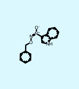 [O-]/[N+](=N/OCc1ccccc1)c1c[nH]c2ccccc12